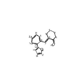 O=C1CCCC/C1=C\c1ccccc1-c1ccco1